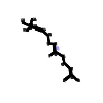 CC(C)=CCC/C(C)=C/CCC#C[Si](C)(C)C